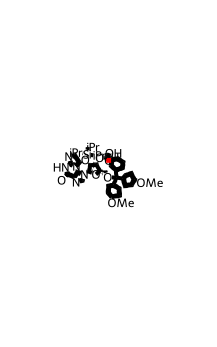 COc1ccc(C(OC[C@H]2O[C@@H](n3cnc4c(=O)[nH]c5nccn5c43)[C@H](O[Si](C(C)C)(C(C)C)C(C)C)[C@@H]2O[PH](=O)O)(c2ccccc2)c2ccc(OC)cc2)cc1